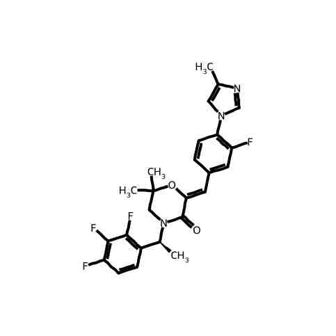 Cc1cn(-c2ccc(/C=C3\OC(C)(C)CN([C@@H](C)c4ccc(F)c(F)c4F)C3=O)cc2F)cn1